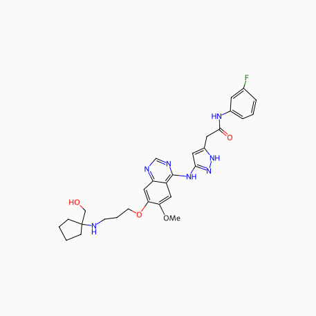 COc1cc2c(Nc3cc(CC(=O)Nc4cccc(F)c4)[nH]n3)ncnc2cc1OCCCNC1(CO)CCCC1